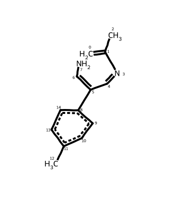 C=C(C)/N=C\C(=C/N)c1ccc(C)cc1